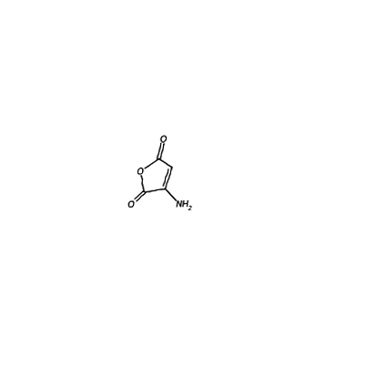 NC1=CC(=O)OC1=O